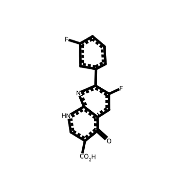 O=C(O)c1c[nH]c2nc(-c3cccc(F)c3)c(F)cc2c1=O